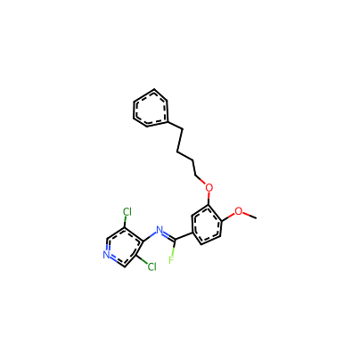 COc1ccc(C(F)=Nc2c(Cl)cncc2Cl)cc1OCCCCc1ccccc1